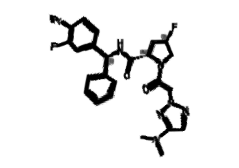 CC(C)c1ccc([C@@H](NC(=O)[C@@H]2C[C@@H](F)CN2C(=O)Cn2ncc(N(C)C)n2)c2ccccc2)cc1F